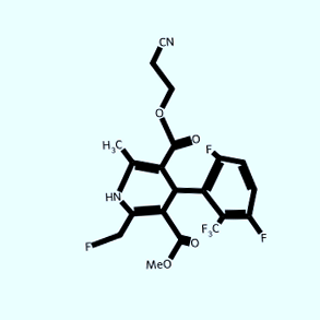 COC(=O)C1=C(CF)NC(C)=C(C(=O)OCCC#N)C1c1c(F)ccc(F)c1C(F)(F)F